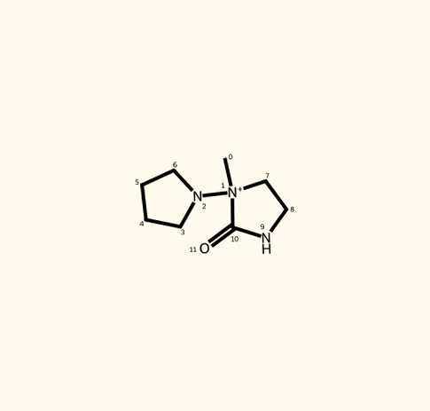 C[N+]1(N2CCCC2)CCNC1=O